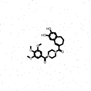 COc1cc(C(=O)N2CCN(C(=O)C3=Cc4cc(O)c(O)cc4CCC3)CC2)cc(OC)c1OC